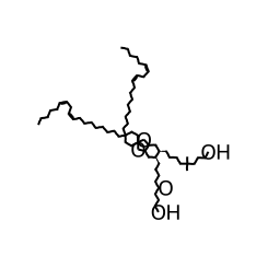 CCCCC/C=C\C/C=C\CCCCCCCCC1(CCCCCCCC/C=C\C/C=C\CCCCC)CCC2(CC1)OC1C[C@@H](CCCCC(C)(C)CCCO)[C@@H](CCCCC(=O)CCCO)CC1O2